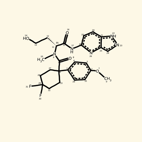 COc1ccc(C2(C(=O)N(C)[C@H](CCO)C(=O)Nc3ccc4[nH]ncc4n3)CCC(F)(F)CC2)cc1